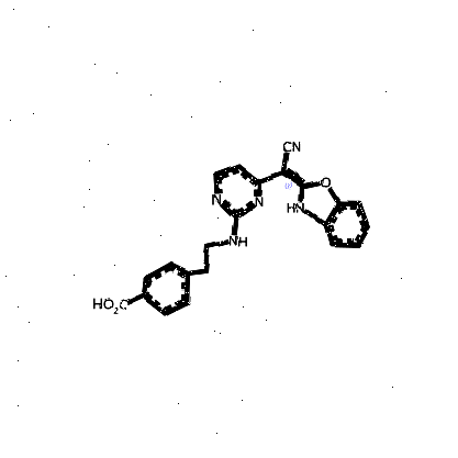 N#C/C(=C1/Nc2ccccc2O1)c1ccnc(NCCc2ccc(C(=O)O)cc2)n1